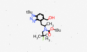 CC(Cc1c(CO)ccc2c1nnn2C(C)(C)C)N(CC(C)(C)F)C(=O)OC(C)(C)C